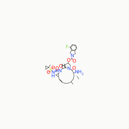 CC[C@@H]1CC(C)CC/C=C\C2C[C@@]2(C(=O)NS(=O)(=O)C2(C)CC2)NC(=O)[C@@H]2C[C@@H](OC(=O)N3Cc4cccc(F)c4C3)CN2C(=O)[C@H]1N